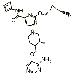 N#C[C@@H]1C[C@@H]1COc1nc(C(=O)NC23CC(C2)C3)cc(N2CC[C@H](COc3cncnc3N)[C@H](F)C2)n1